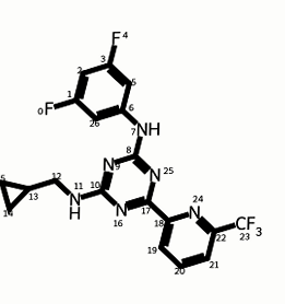 Fc1cc(F)cc(Nc2nc(NCC3CC3)nc(-c3cccc(C(F)(F)F)n3)n2)c1